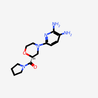 Nc1ccc(N2CCO[C@@H](C(=O)N3CCCC3)C2)nc1N